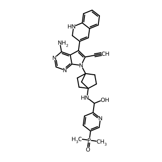 C#Cc1c(C2=Cc3ccccc3NC2)c2c(N)ncnc2n1C12CCC(NC(O)c3ccc(P(C)(C)=O)cn3)(CC1)C2